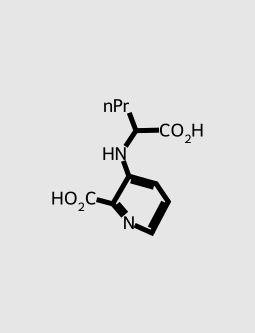 CCCC(Nc1cccnc1C(=O)O)C(=O)O